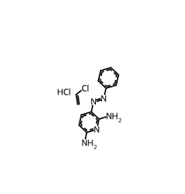 C=CCl.Cl.Nc1ccc(/N=N/c2ccccc2)c(N)n1